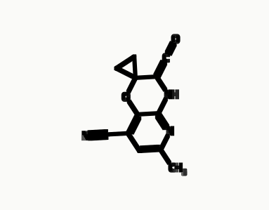 Cc1cc(C#N)c2c(n1)NC(=C=O)C1(CC1)O2